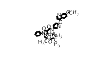 COc1ccc2c(Oc3ccc(NC(=O)c4c(C)n(CC(C)OC(=O)C(C)N)n(-c5ccccc5)c4=O)cn3)ccnc2c1